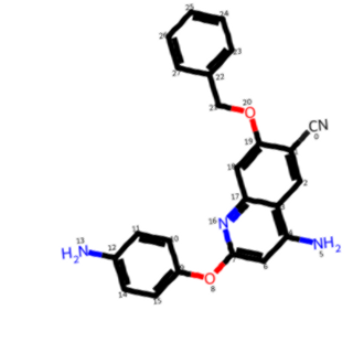 N#Cc1cc2c(N)cc(Oc3ccc(N)cc3)nc2cc1OCc1ccccc1